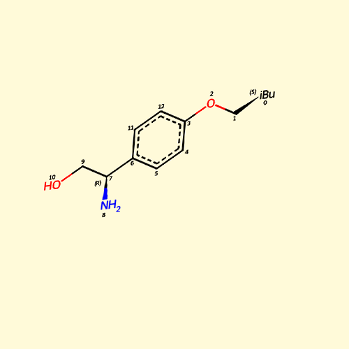 CC[C@H](C)COc1ccc([C@@H](N)CO)cc1